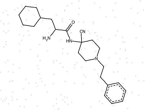 N#CC1(NC(=O)C(N)CC2CCCCC2)CCN(CCc2ccccc2)CC1